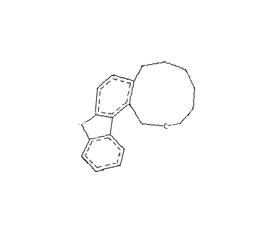 [CH]1c2ccccc2-c2c1ccc1c2CCCCCCCC1